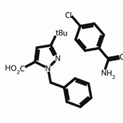 CC(C)(C)c1cc(C(=O)O)n(Cc2ccccc2)n1.NC(=O)c1ccc(Cl)cc1